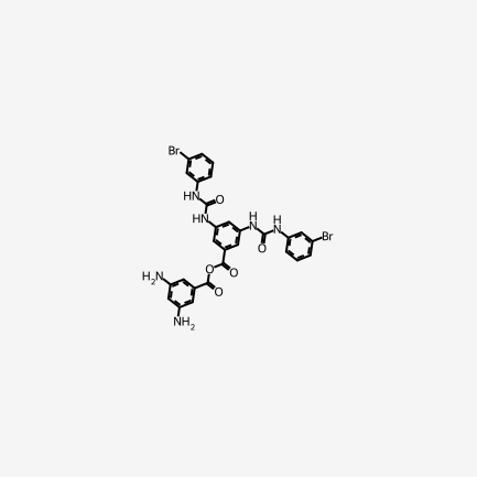 Nc1cc(N)cc(C(=O)OC(=O)c2cc(NC(=O)Nc3cccc(Br)c3)cc(NC(=O)Nc3cccc(Br)c3)c2)c1